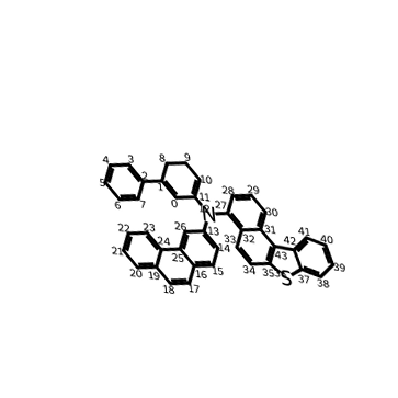 C1=C(c2ccccc2)CCC=C1N(c1ccc2ccc3ccccc3c2c1)c1cccc2c1ccc1sc3ccccc3c12